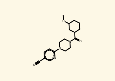 COC1CCCC(C(=O)N2CCN(c3ccc(C#N)cn3)CC2)C1